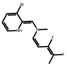 C/C(F)=C(F)\C=C/N(C)/C=C1\NC=CC=C1Br